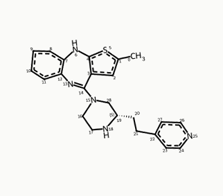 Cc1cc2c(s1)Nc1ccccc1N=C2N1CCN[C@@H](CCc2ccncc2)C1